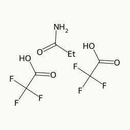 CCC(N)=O.O=C(O)C(F)(F)F.O=C(O)C(F)(F)F